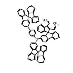 C=CC1=C(/C=C\C)C2(c3ccccc31)c1ccccc1-c1ccc(N(c3ccc(-c4ccc5c(c4)C4(c6ccccc6-c6ccccc64)c4ccccc4-5)cc3)c3ccc4c(c3)C3(c5ccccc5-c5ccccc53)c3ccccc3-4)cc12